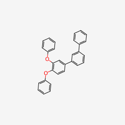 c1ccc(Oc2ccc(-c3cccc(-c4ccccc4)c3)cc2Oc2ccccc2)cc1